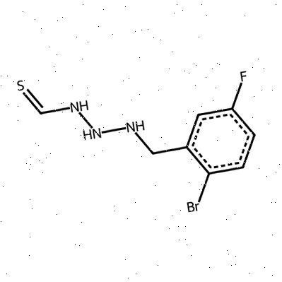 Fc1ccc(Br)c(CNNNC=S)c1